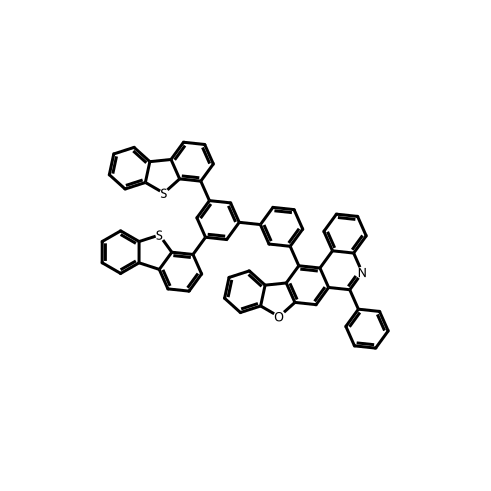 c1ccc(-c2nc3ccccc3c3c(-c4cccc(-c5cc(-c6cccc7c6sc6ccccc67)cc(-c6cccc7c6sc6ccccc67)c5)c4)c4c(cc23)oc2ccccc24)cc1